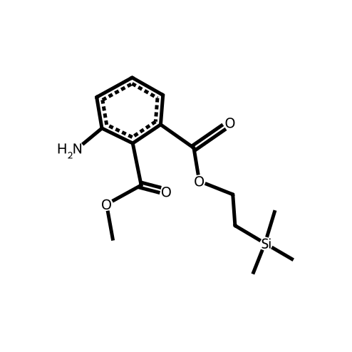 COC(=O)c1c(N)cccc1C(=O)OCC[Si](C)(C)C